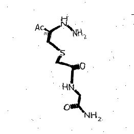 CC(=O)[C@H](CSCC(=O)NCC(N)=O)NN